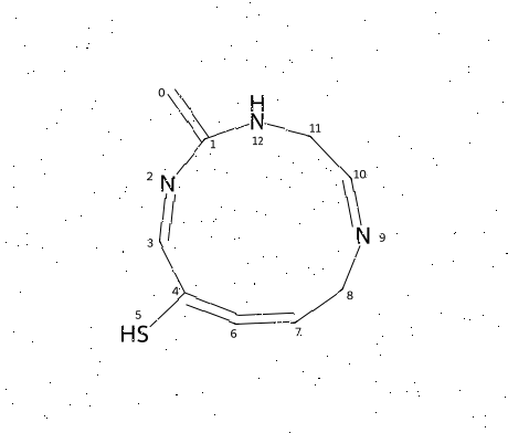 C=C1/N=C\C(S)=C=CC/N=C\CN1